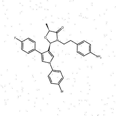 C[C@@H]1O[C@H](c2cn(-c3ccc(Br)cc3)cc2-c2ccc(F)cc2)N(CCc2ccc(N)cc2)C1=O